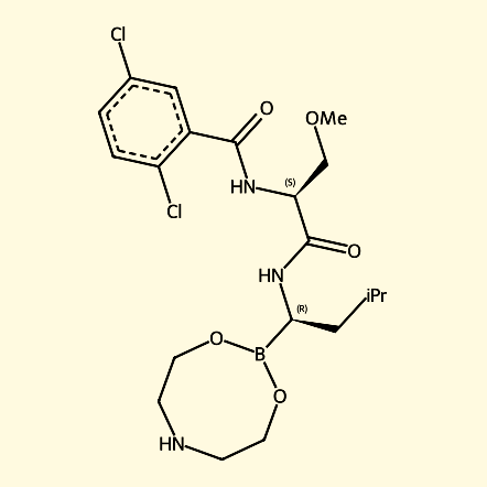 COC[C@H](NC(=O)c1cc(Cl)ccc1Cl)C(=O)N[C@@H](CC(C)C)B1OCCNCCO1